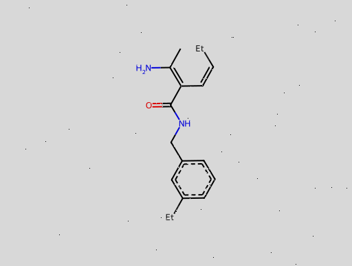 CC/C=C\C(C(=O)NCc1cccc(CC)c1)=C(/C)N